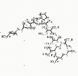 CC(N)C(=O)O.CC(O)C(N)C(=O)O.NC(CC(=O)O)C(=O)O.NC(CCC(=O)O)C(=O)O.NC(CO)C(=O)O.NC(CSSCC(N)C(=O)O)C(=O)O.NCC(=O)O.NCCCCC(N)C(=O)O.O=C(O)[C@@H]1CCCN1